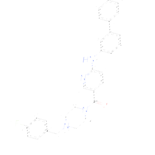 O=C(c1ccc(Nc2cccc(-c3ccccc3)c2)nc1)N1CCN(Cc2ccc(F)cc2)CC1